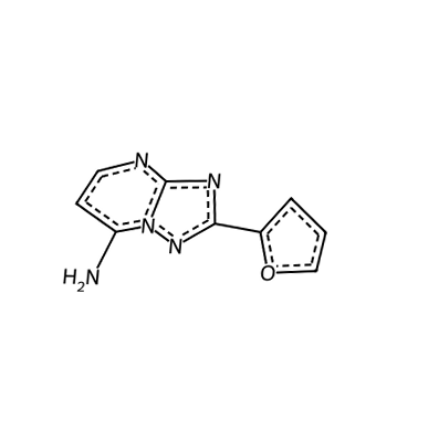 Nc1ccnc2nc(-c3ccco3)nn12